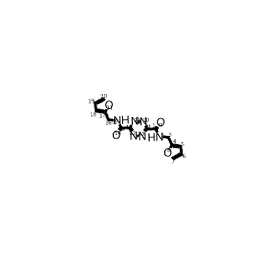 O=C(NCc1ccco1)c1nnc(C(=O)NCc2ccco2)nn1